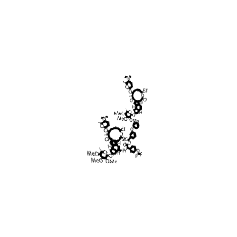 CC(C)[C@H](C(=O)OC(C#N)c1cccc(Oc2ccccc2)c1)c1ccc(OC(F)F)cc1.CC[C@H]1CCC[C@H](O[C@H]2CC[C@H](N(C)C)[C@@H](C)O2)[C@@H](C)C(=O)C2=C[C@@H]3[C@@H](C=C(C)[C@@H]4C[C@@H](O[C@@H]5O[C@@H](C)[C@H](OC)[C@@H](OC)[C@H]5OC)C[C@@H]34)[C@@H]2CC(=O)O1.CC[C@H]1CCC[C@H](O[C@H]2CC[C@H](N(C)C)[C@@H](C)O2)[C@@H](C)C(=O)C2=C[C@@H]3[C@@H](C=C[C@@H]4C[C@@H](O[C@@H]5O[C@@H](C)[C@H](OC)[C@@H](OC)[C@H]5OC)C[C@@H]34)[C@@H]2CC(=O)O1